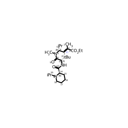 CCOC(=O)/C(C)=C/[C@@H](C(C)C)N(C)C(=O)[C@@H](NC(=O)[C@H]1CCCCN1C(C)C)C(C)(C)C